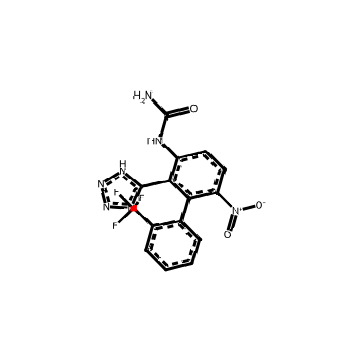 NC(=O)Nc1ccc([N+](=O)[O-])c(-c2ccccc2C(F)(F)F)c1-c1nnn[nH]1